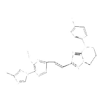 COc1nc(C=Cc2nc3n(n2)CCCN3c2ccc(F)cc2)ccc1-n1cnc(C)c1